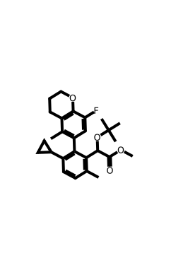 COC(=O)C(OC(C)(C)C)c1c(C)ccc(C2CC2)c1-c1cc(F)c2c(c1C)CCCO2